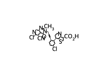 Cc1nc2cnc(Cl)c(C#N)c2c(=O)n1CC#Cc1ccc(Cl)cc1-c1ccnc2c(C(=O)O)csc12